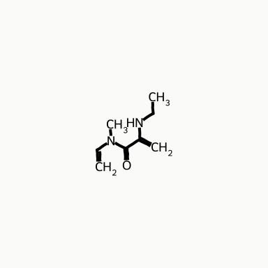 C=CN(C)C(=O)C(=C)NCC